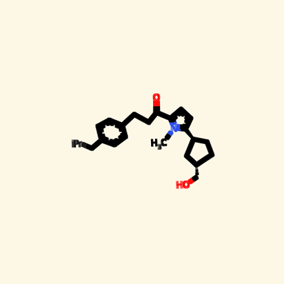 CC(C)Cc1ccc(CCC(=O)c2ccc([C@H]3CC[C@H](CO)C3)n2C)cc1